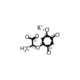 CC(Oc1cc(Cl)c(Cl)cc1Cl)C(=O)[O-].[K+]